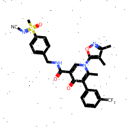 Cc1noc(-n2cc(C(=O)NCc3ccc(S(C)(=O)=NC#N)cc3)c(=O)c(-c3cccc(C(F)(F)F)c3)c2C)c1C